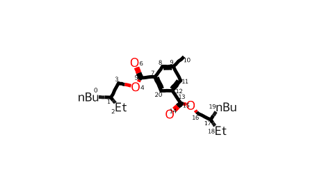 CCCCC(CC)COC(=O)c1cc(C)cc(C(=O)OCC(CC)CCCC)c1